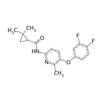 Cc1nc(NC(=O)C2CC2(C)C)ccc1Oc1ccc(F)c(F)c1